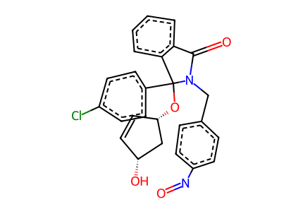 O=Nc1ccc(CN2C(=O)c3ccccc3C2(O[C@H]2C=C[C@@H](O)C2)c2ccc(Cl)cc2)cc1